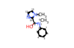 CN(c1ccccc1)C(O)c1nccn1C